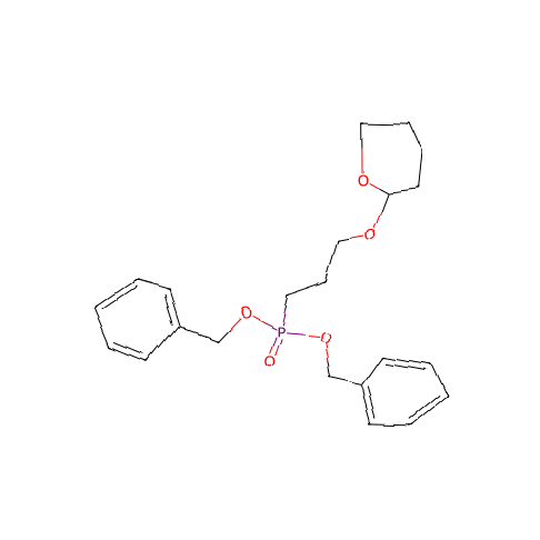 O=P(CCCOC1CCCCO1)(OCc1ccccc1)OCc1ccccc1